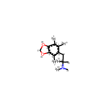 [2H]c1c([2H])c2c(c([2H])c1CC([2H])(C)N([2H])C)OCO2